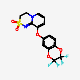 O=S1(=O)CCN2C=CC=C(Oc3ccc4c(c3)OC(F)(F)C(F)(F)O4)C2=N1